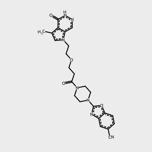 Cc1cn(CCOCCC(=O)N2CCN(c3nc4cc(C#N)ccc4o3)CC2)c2cn[nH]c(=O)c12